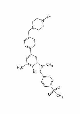 Cc1cc(-c2ccc(CN3CCN(C(C)C)CC3)cc2)cc2c1nc(-c1ccc(S(C)(=O)=O)cc1)n2C